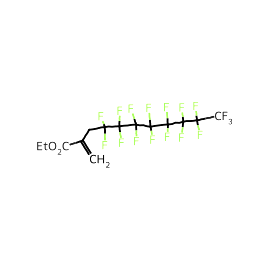 C=C(CC(F)(F)C(F)(F)C(F)(F)C(F)(F)C(F)(F)C(F)(F)C(F)(F)C(F)(F)F)C(=O)OCC